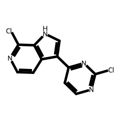 Clc1nccc(-c2c[nH]c3c(Cl)nccc23)n1